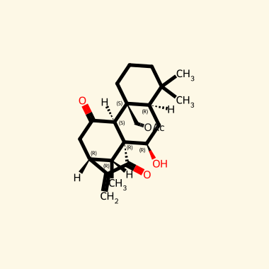 C=C1C(=O)[C@@]23[C@H](O)C[C@@H]4C(C)(C)CCC[C@@]4(COC(C)=O)[C@@H]2C(=O)C[C@@H]1[C@H]3C